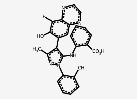 Cc1ccccc1-n1nc(C)c(-c2cc3nccnc3c(F)c2O)c1Nc1ccccc1C(=O)O